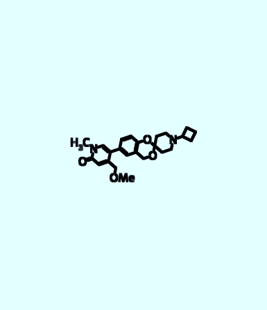 COCc1cc(=O)n(C)cc1-c1ccc2c(c1)COC1(CCN(C3CCC3)CC1)O2